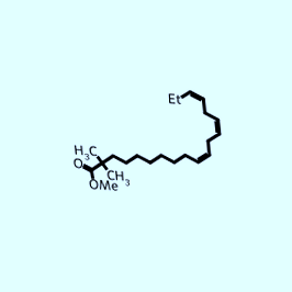 CC/C=C\C/C=C\C/C=C\CCCCCCCC(C)(C)C(=O)OC